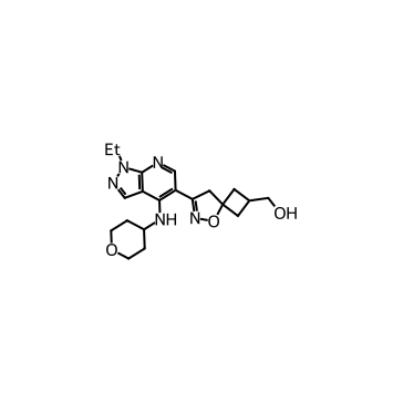 CCn1ncc2c(NC3CCOCC3)c(C3=NOC4(C3)CC(CO)C4)cnc21